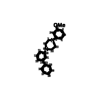 COc1cccc(N2CCN(c3cccc(-c4ccccc4)c3)CC2)c1